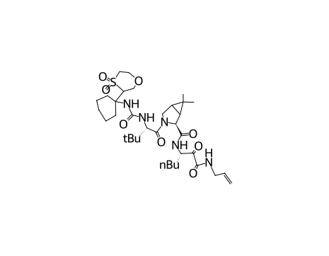 C=CCNC(=O)C(=O)[C@H](CCCC)NC(=O)[C@@H]1C2C(CN1C(=O)[C@@H](NC(=O)NC1(C3COCCS3(=O)=O)CCCCC1)C(C)(C)C)C2(C)C